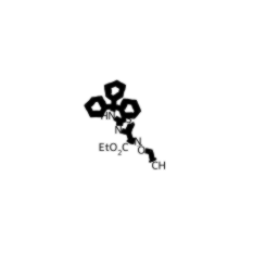 C#CCO/N=C(\C(=O)OCC)c1csc(NC(c2ccccc2)(c2ccccc2)c2ccccc2)n1